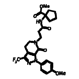 COC(=O)C1(NC(=O)CCN2CCc3c(C(F)(F)F)nn(-c4ccc(OC)cc4)c3C2=O)CCCC1